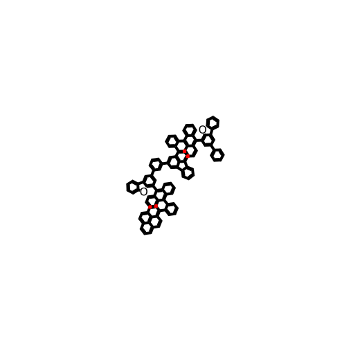 c1ccc(-c2cc(-c3c4ccccc4c(-c4ccccc4-c4ccc5c6c(cc(-c7cccc(-c8cc(-c9c%10ccccc%10c(-c%10ccccc%10-c%10ccc%11ccc%12cccc%13ccc%10c%11c%12%13)c%10ccccc9%10)c9oc%10ccccc%10c9c8)c7)cc46)-c4ccccc4-5)c4ccccc34)c3oc4ccccc4c3c2)cc1